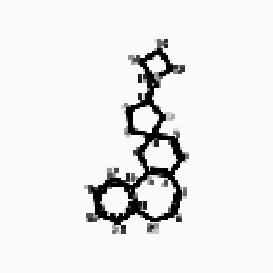 C1=CC2=C(CC3(C=C2)CCC(N2CCC2)C3)c2ccccc2C1